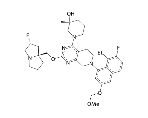 CCc1c(F)ccc2cc(OCOC)cc(N3CCc4c(nc(OC[C@@]56CCCN5C[C@H](F)C6)nc4N4CCC[C@@](C)(O)C4)C3)c12